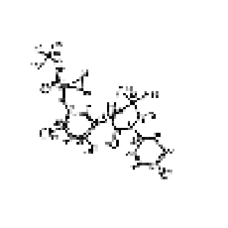 C[C@H]([C@H](C(=O)Nc1cc(CC2(C(=O)OC(C)(C)C)CC2)c(Cl)cc1F)C1C=CC(Cl)=CC1)C(F)(F)F